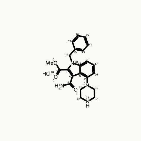 COC(=O)c1c(C(N)=O)c2c(N3CCNCC3)cccc2n1Cc1ccccc1.Cl